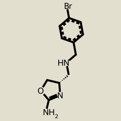 NC1=N[C@@H](CNCc2ccc(Br)cc2)CO1